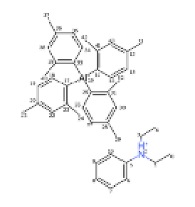 CC[NH+](CC)c1ccccc1.Cc1cc[c]([Al-]([c]2ccc(C)cc2C)([c]2ccc(C)cc2C)[c]2ccc(C)cc2C)c(C)c1